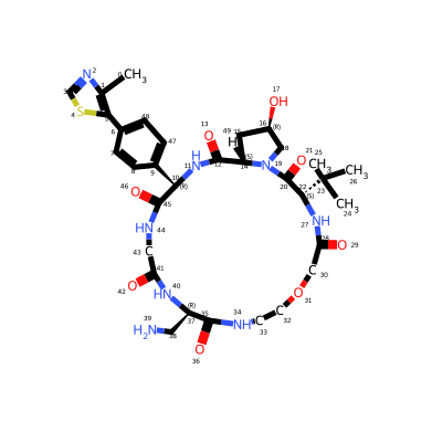 Cc1ncsc1-c1ccc([C@H]2NC(=O)[C@@H]3C[C@@H](O)CN3C(=O)[C@H](C(C)(C)C)NC(=O)COCCNC(=O)[C@@H](CN)NC(=O)CNC2=O)cc1